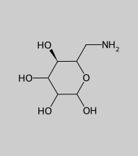 NCC1OC(O)C(O)C(O)[C@H]1O